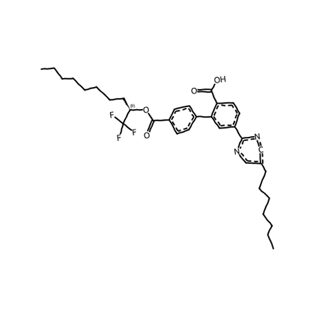 CCCCCCCC[C@@H](OC(=O)c1ccc(-c2cc(-c3ncc(CCCCCCC)cn3)ccc2C(=O)O)cc1)C(F)(F)F